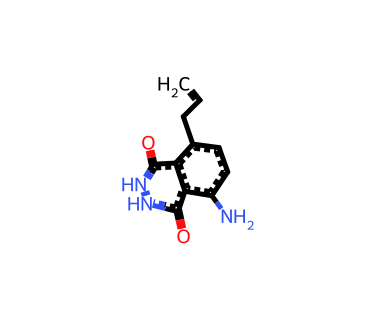 C=CCc1ccc(N)c2c(=O)[nH][nH]c(=O)c12